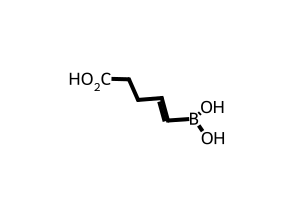 O=C(O)CC/C=C/B(O)O